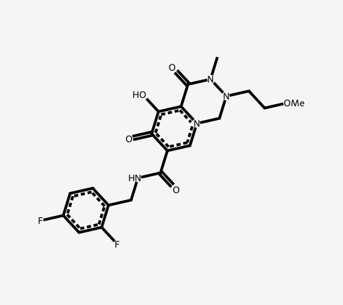 COCCN1Cn2cc(C(=O)NCc3ccc(F)cc3F)c(=O)c(O)c2C(=O)N1C